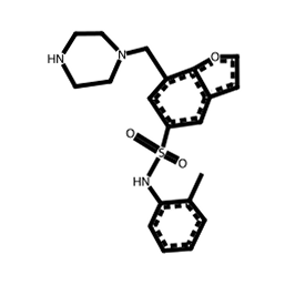 Cc1ccccc1NS(=O)(=O)c1cc(CN2CCNCC2)c2occc2c1